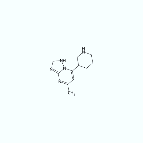 CC1=NC2=NCNN2C(C2CCCNC2)=C1